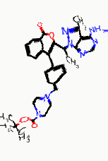 Cc1nn(C(C)c2oc(=O)c3ccccc3c2-c2ccc(CN3CCN(C(=O)OC(C)(C)C)CC3)cc2)c2ncnc(N)c12